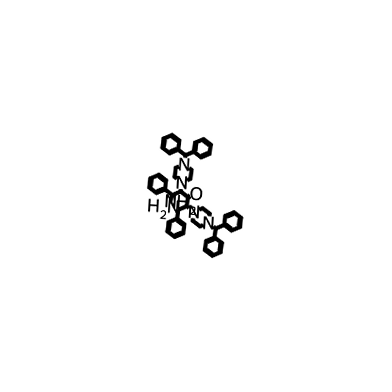 NC(c1ccccc1)C(C(=O)C(C(N)c1ccccc1)N1CCN(C(c2ccccc2)c2ccccc2)CC1)N1CCN(C(c2ccccc2)c2ccccc2)CC1